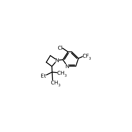 CCC(C)(C)C1CCN1c1ncc(C(F)(F)F)cc1Cl